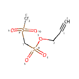 C#CCOS(=O)(=O)CS(=O)(=O)C(F)(F)F